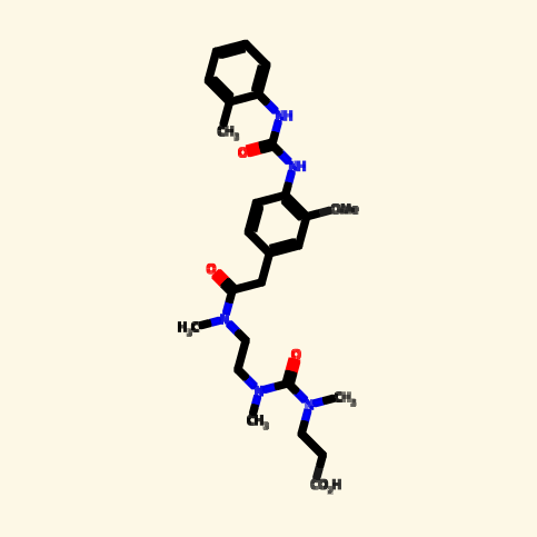 COc1cc(CC(=O)N(C)CCN(C)C(=O)N(C)CCC(=O)O)ccc1NC(=O)Nc1ccccc1C